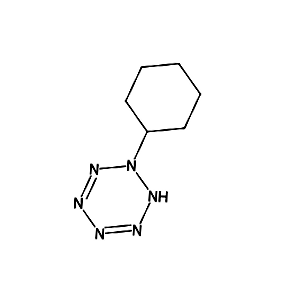 C1CCC(N2N=NN=NN2)CC1